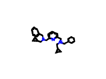 c1ccc(CN(Cc2cccc(CN(Cc3ccccc3)CC3CC3)n2)CC2CC2)cc1